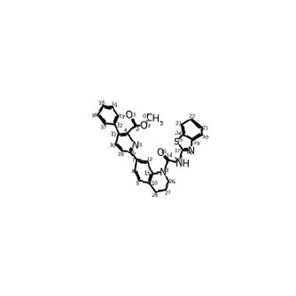 COC(=O)c1nc(-c2ccc3c(c2)N(C(=O)Nc2nc4ccccc4s2)CCC3)ccc1-c1ccccc1